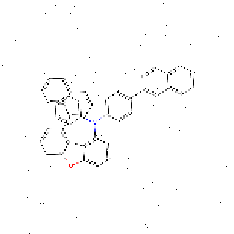 c1ccc(N(c2ccc(-c3ccc4ccccc4c3)cc2)c2cccc3oc4cccc(-c5cccc6ccccc56)c4c23)cc1